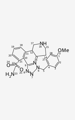 COc1ccc(Cn2nnc(-c3c(C4CCCNC4)cccc3S(N)(=O)=O)n2)cc1